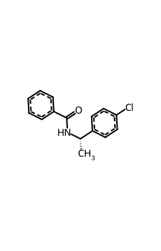 C[C@H](NC(=O)c1ccccc1)c1ccc(Cl)cc1